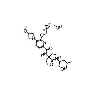 CCC(CC)(NC(=O)c1ccc(N2CC(OC)C2)c(OC[C@H]2C[C@@H]2CO)n1)C(=O)NC(CO)CC(C)C